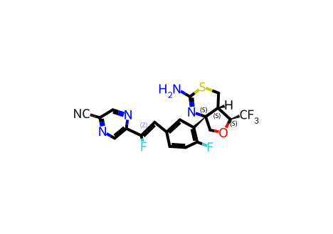 N#Cc1cnc(/C(F)=C/c2ccc(F)c([C@]34CO[C@H](C(F)(F)F)[C@H]3CSC(N)=N4)c2)cn1